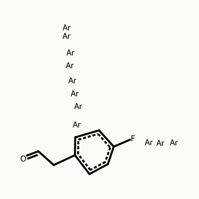 O=CCc1ccc(F)cc1.[Ar].[Ar].[Ar].[Ar].[Ar].[Ar].[Ar].[Ar].[Ar].[Ar].[Ar]